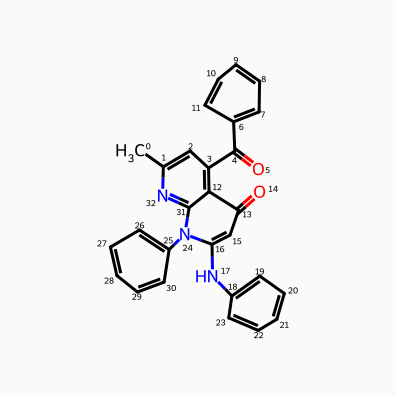 Cc1cc(C(=O)c2ccccc2)c2c(=O)cc(Nc3ccccc3)n(-c3ccccc3)c2n1